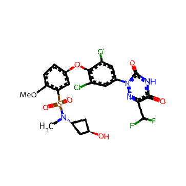 COc1ccc(Oc2c(Cl)cc(-n3nc(C(F)F)c(=O)[nH]c3=O)cc2Cl)cc1S(=O)(=O)N(C)[C@H]1C[C@H](O)C1